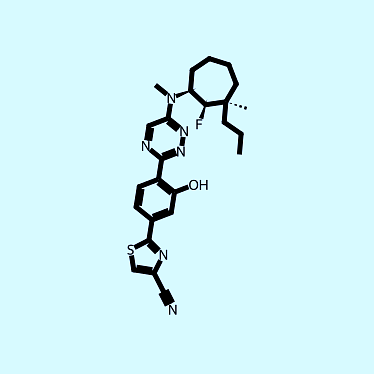 CCC[C@]1(C)CCCC[C@H](N(C)c2cnc(-c3ccc(-c4nc(C#N)cs4)cc3O)nn2)[C@@H]1F